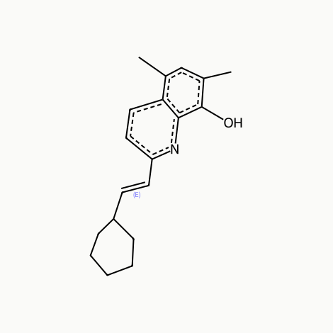 Cc1cc(C)c2ccc(/C=C/C3CCCCC3)nc2c1O